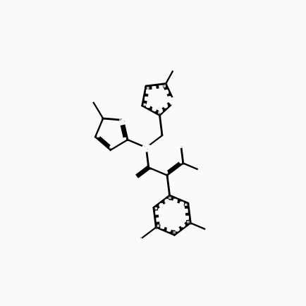 CC1C=CC(N(Cc2ccc(Cl)s2)C(=O)C(=C(Cl)Cl)c2cc(Cl)cc(Cl)c2)=N1